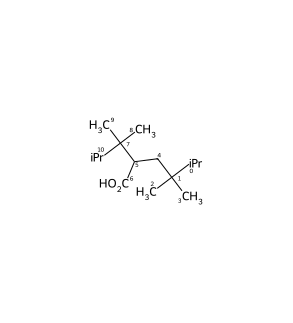 CC(C)C(C)(C)CC(C(=O)O)C(C)(C)C(C)C